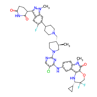 C[C@H]1CN(c2ncc(Cl)c(Nc3ccc4c(c3)c3c(c(=O)n4C)OCC(F)(F)[C@H](C4CC4)N3)n2)CC[C@@H]1CN1CCC(c2cc3c(cc2F)c(C2CCC(=O)NC2=O)nn3C)CC1